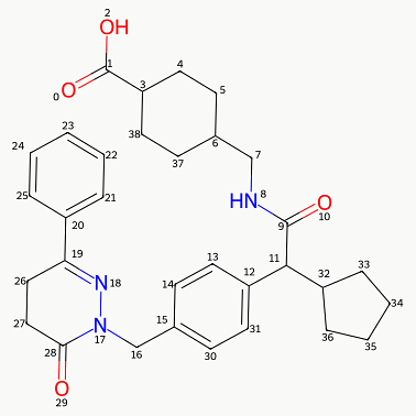 O=C(O)C1CCC(CNC(=O)C(c2ccc(CN3N=C(c4ccccc4)CCC3=O)cc2)C2CCCC2)CC1